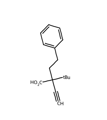 C#CC(CCc1ccccc1)(C(=O)O)C(C)(C)C